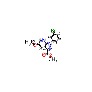 COC(=O)c1nn(-c2cccc(Br)c2)c2ncc(OC)cc12